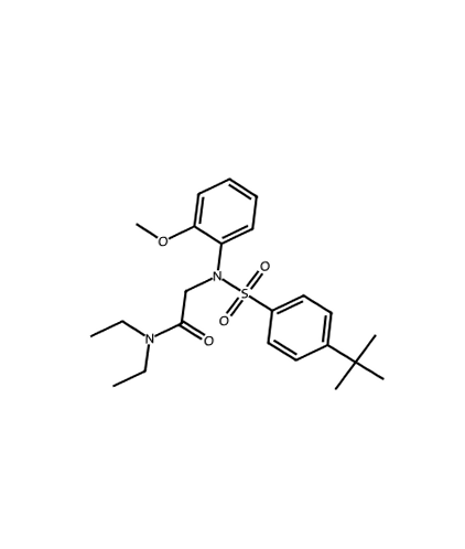 CCN(CC)C(=O)CN(c1ccccc1OC)S(=O)(=O)c1ccc(C(C)(C)C)cc1